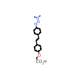 CN(C)/N=N/c1ccc(/C=C/c2ccc(OCC(=O)O)cc2)cc1